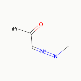 CN=[N+]=CC(=O)C(C)C